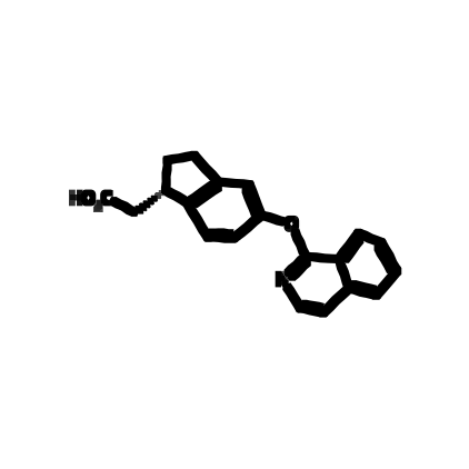 O=C(O)C[C@@H]1CCc2cc(Oc3nccc4ccccc34)ccc21